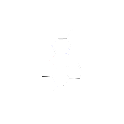 CCN(Cc1ccccc1)[C@@H](C)COc1ncc(C(F)(F)F)cn1